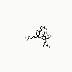 CC=CC(C=CC)(CO)COCC(C=CCC)(C=CCC)CO